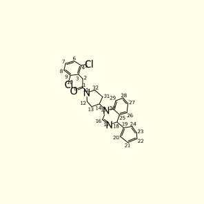 O=C(Cc1c(Cl)cccc1Cl)N1CCC(N2C=NC(c3ccccc3)c3ccccc32)CC1